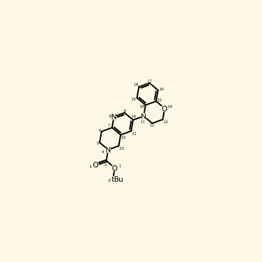 CC(C)(C)OC(=O)N1CCc2ncc(N3CCOc4ccccc43)cc2C1